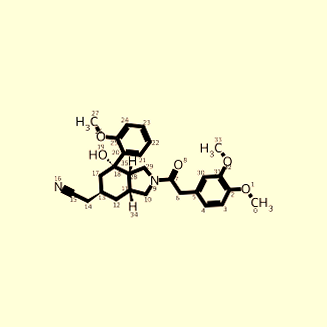 COc1ccc(CC(=O)N2C[C@@H]3C[C@@H](CC#N)C[C@@](O)(c4ccccc4OC)[C@@H]3C2)cc1OC